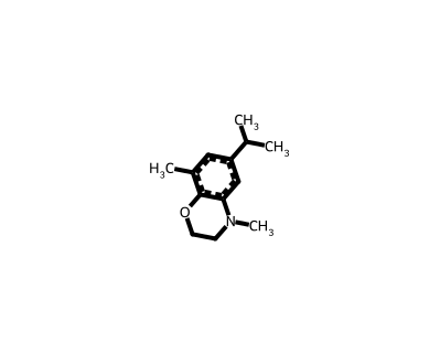 Cc1cc(C(C)C)cc2c1OCCN2C